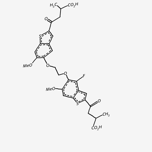 COc1cc2sc(C(=O)CC(C)C(=O)O)cc2cc1OCCOc1c(OC)cc2sc(C(=O)CC(C)C(=O)O)cc2c1F